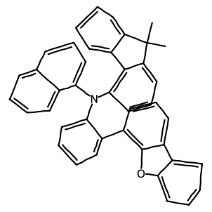 CC1(C)c2ccccc2-c2c(N(c3ccccc3-c3cccc4c3oc3ccccc34)c3cccc4ccccc34)cccc21